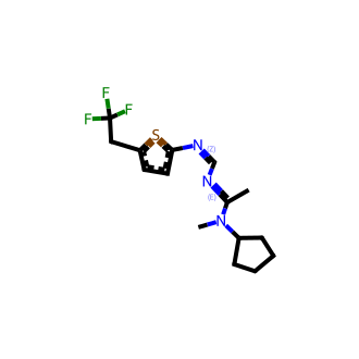 C/C(=N\C=N/c1ccc(CC(F)(F)F)s1)N(C)C1CCCC1